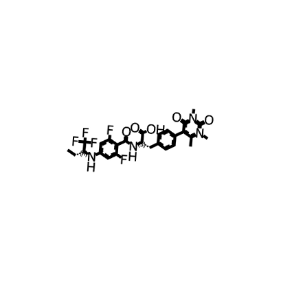 CC[C@@H](Nc1cc(F)c(C(=O)N[C@@H](Cc2ccc(-c3c(C)n(C)c(=O)n(C)c3=O)cc2)C(=O)O)c(F)c1)C(F)(F)F